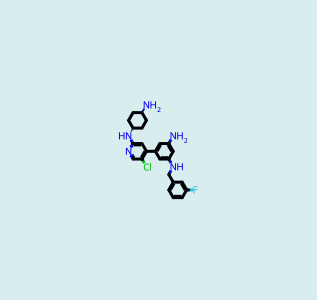 Nc1cc(NCc2cccc(F)c2)cc(-c2cc(N[C@H]3CC[C@H](N)CC3)ncc2Cl)c1